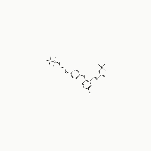 C=C(/N=C/c1cc(Cl)ccc1Oc1ccc(OCCO[Si](C)(C)C(C)(C)C)cc1)O[Si](C)(C)C